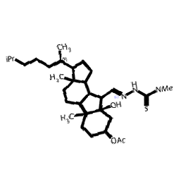 CNC(=S)N/N=C/C1C2C3CCC([C@H](C)CCCC(C)C)C3(C)CCC2C2(C)CCC(OC(C)=O)CC12O